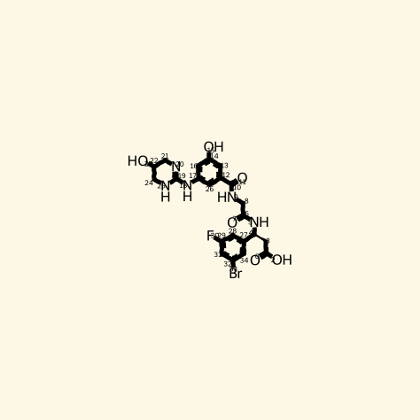 O=C(O)C[C@H](NC(=O)CNC(=O)c1cc(O)cc(NC2=NCC(O)CN2)c1)c1cc(F)cc(Br)c1